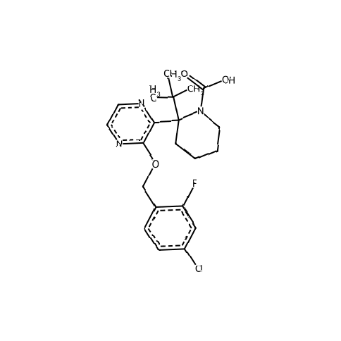 CC(C)(C)C1(c2nccnc2OCc2ccc(Cl)cc2F)CCCCN1C(=O)O